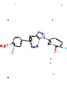 Oc1cc(-n2ncc3cc(-c4ccc(O)c(Cl)c4)cnc32)ccc1F